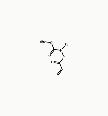 C=CC(=O)ON(CC)C(=O)OC(C)(C)C